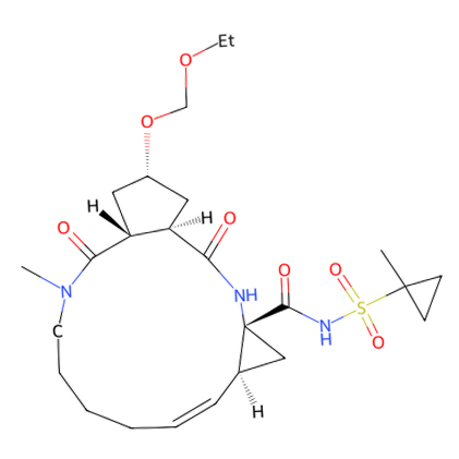 CCOCO[C@@H]1C[C@H]2C(=O)N[C@]3(C(=O)NS(=O)(=O)C4(C)CC4)C[C@H]3/C=C\CCCCN(C)C(=O)[C@@H]2C1